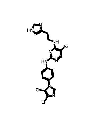 Clc1ncn(-c2ccc(Nc3ncc(Br)c(NCCc4c[nH]cn4)n3)cc2)c1Cl